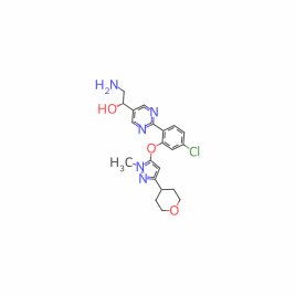 Cn1nc(C2CCOCC2)cc1Oc1cc(Cl)ccc1-c1ncc([C@@H](O)CN)cn1